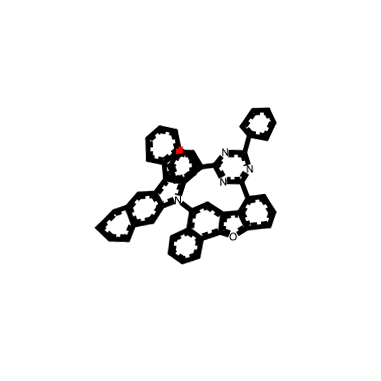 c1ccc(-c2nc(-c3ccccc3)nc(-c3cccc4oc5c6ccccc6c(-n6c7cc8ccccc8cc7c7c8ccccc8ccc76)cc5c34)n2)cc1